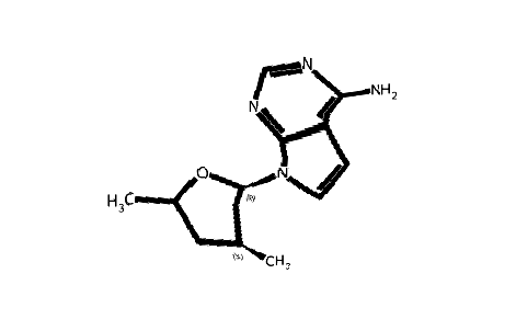 CC1C[C@H](C)[C@H](n2ccc3c(N)ncnc32)O1